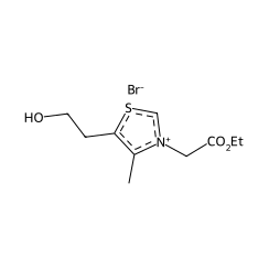 CCOC(=O)C[n+]1csc(CCO)c1C.[Br-]